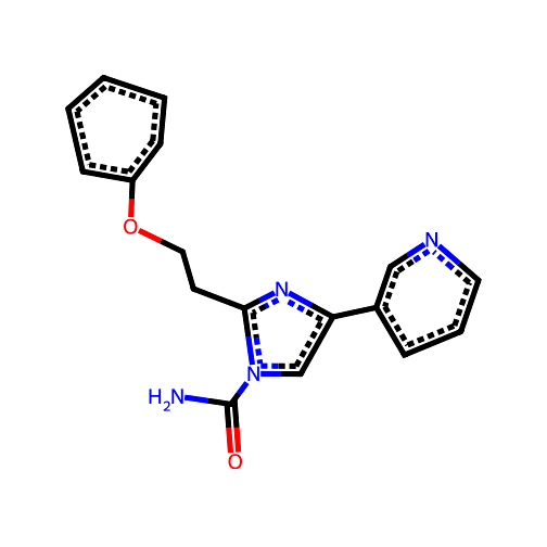 NC(=O)n1cc(-c2cccnc2)nc1CCOc1ccccc1